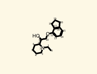 CCN1CCCCC1C(O)COc1cccc2c1CCC2